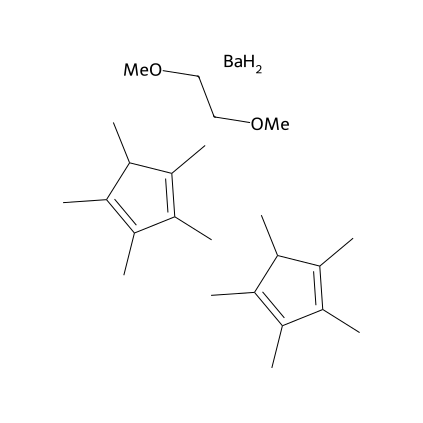 CC1=C(C)C(C)C(C)=C1C.CC1=C(C)C(C)C(C)=C1C.COCCOC.[BaH2]